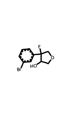 OC1COCC1(F)c1cccc(Br)c1